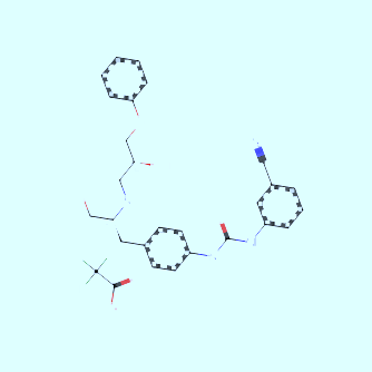 N#Cc1cccc(NC(=O)Nc2ccc(C[C@@H](CO)NC[C@H](O)COc3ccccc3)cc2)c1.O=C(O)C(F)(F)F